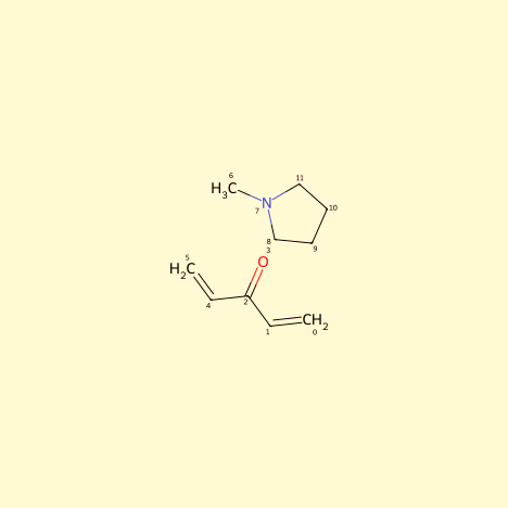 C=CC(=O)C=C.CN1CCCC1